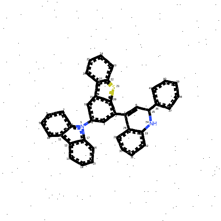 C1=C(c2cc(-n3c4ccccc4c4ccccc43)cc3c2sc2ccccc23)c2ccccc2NC1c1ccccc1